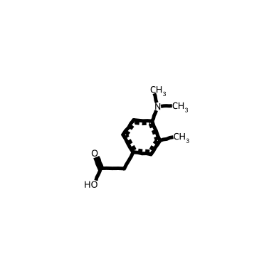 Cc1cc(CC(=O)O)ccc1N(C)C